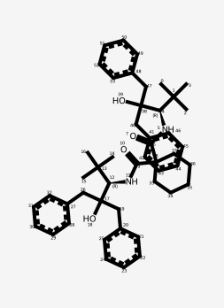 CC(C)(C)[C@@H](NC(=O)C1(C(=O)N[C@H](C(C)(C)C)C(O)(Cc2ccccc2)Cc2ccccc2)CCCCC1)C(O)(Cc1ccccc1)Cc1ccccc1